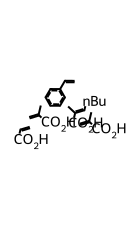 C=C(C)C(=O)O.C=C(C)C(=O)O.C=CC(=O)O.C=Cc1ccccc1.CCCC/C=C(\C)C(=O)O